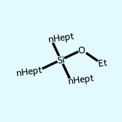 CCCCCCC[Si](CCCCCCC)(CCCCCCC)OCC